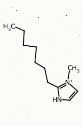 CCCCCCCc1[nH]cc[n+]1C